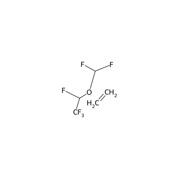 C=C.FC(F)OC(F)C(F)(F)F